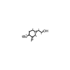 CC(C)(C)C1CCN(CCO)CC1F